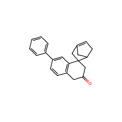 O=C1Cc2ccc(-c3ccccc3)cc2C2(C1)CC1=CCC2C1